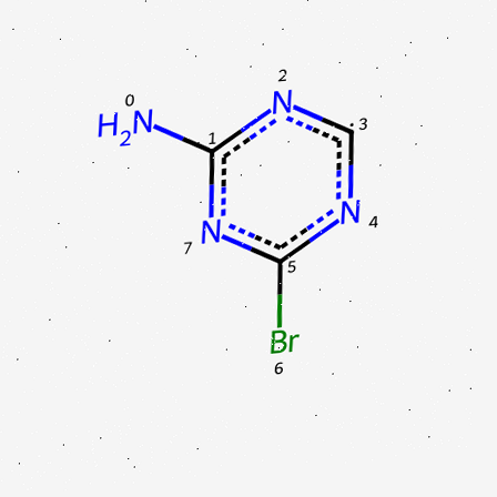 Nc1n[c]nc(Br)n1